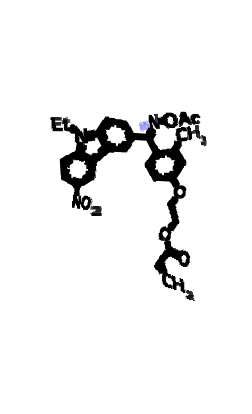 C=CC(=O)OCCOc1ccc(/C(=N\OC(C)=O)c2ccc3c(c2)c2cc([N+](=O)[O-])ccc2n3CC)c(C)c1